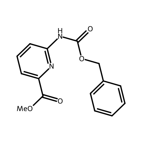 COC(=O)c1cccc(NC(=O)OCc2ccccc2)n1